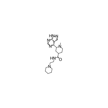 CN1CCC(C(=O)NCCN2CCCCC2)CC1c1ncnc2[nH]ncc12